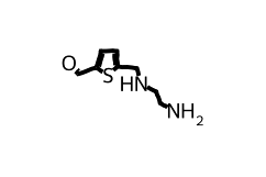 NCCNCc1ccc(C=O)s1